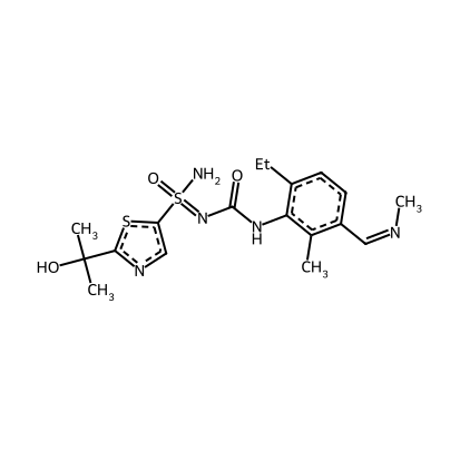 CCc1ccc(/C=N\C)c(C)c1NC(=O)N=S(N)(=O)c1cnc(C(C)(C)O)s1